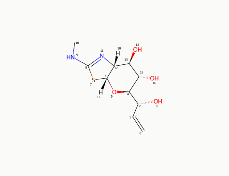 C=C[C@@H](O)[C@H]1O[C@@H]2SC(NC)=N[C@@H]2[C@@H](O)[C@@H]1O